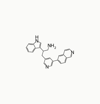 NCC(Cc1cncc(-c2ccc3cnccc3c2)c1)c1c[nH]c2ccccc12